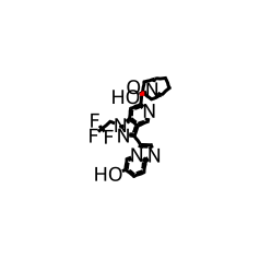 O=C(c1cc2c(cn1)c(-c1cnc3ccc(O)cn13)nn2CC(F)(F)F)N1C2CCC1CC(O)C2